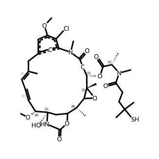 COc1cc2cc(c1Cl)N(C)C(=O)C[C@H](OC(=O)[C@H](C)N(C)C(=O)CCC(C)(C)S)[C@]1(C)OC1[C@H](C)C1C[C@@](O)(NC(=O)O1)[C@H](OC)/C=C/C=C(\C)C2